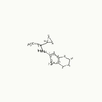 C=C(Nc1cc2c(s1)CCCC2)C1CC1